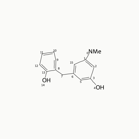 CNc1cc(O)cc(Cc2ccccc2O)c1